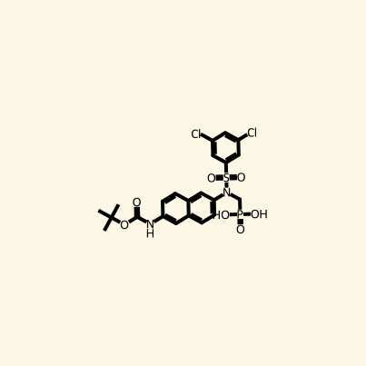 CC(C)(C)OC(=O)Nc1ccc2cc(N(CP(=O)(O)O)S(=O)(=O)c3cc(Cl)cc(Cl)c3)ccc2c1